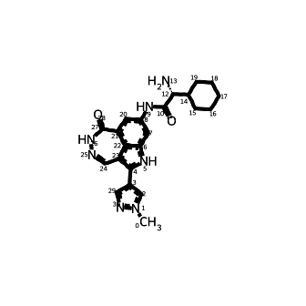 Cn1cc(-c2[nH]c3cc(NC(=O)[C@H](N)C4CCCCC4)cc4c3c2C=NNC4=O)cn1